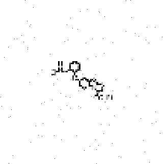 CCOC(=O)c1cnc2sc3cc(Oc4ccccc4CNCl)ccc3n12